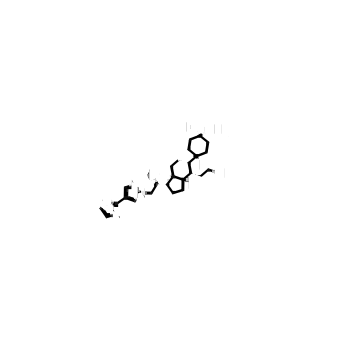 CCC[C@H]1[C@@H]2CC[C@H](C(=O)Cn3cc(-c4ncco4)cn3)[C@@]2(C)CC[C@@H]1[C@]1(F)CC[C@](C)(O)CC1